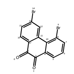 O=C1C(=O)c2cccc(Br)c2-c2cc(Br)ccc21